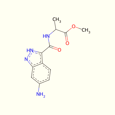 COC(=O)C(C)NC(=O)c1[nH]nc2cc(N)ccc12